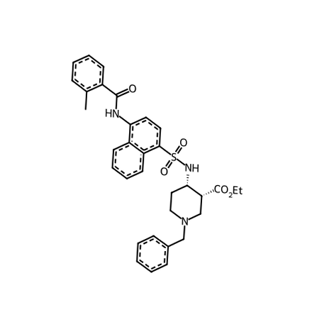 CCOC(=O)[C@@H]1CN(Cc2ccccc2)CC[C@@H]1NS(=O)(=O)c1ccc(NC(=O)c2ccccc2C)c2ccccc12